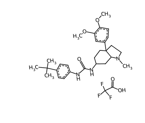 COc1ccc(C23CCC(NC(=O)Nc4ccc(C(C)(C)C)cc4)CC2N(C)CC3)cc1OC.O=C(O)C(F)(F)F